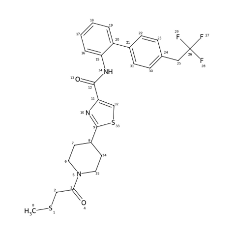 CSCC(=O)N1CCC(c2nc(C(=O)Nc3ccccc3-c3ccc(CC(F)(F)F)cc3)cs2)CC1